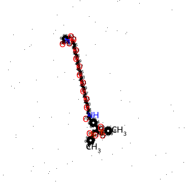 Cc1ccc(S(=O)(=O)CC(CS(=O)(=O)c2ccc(C)cc2)C(=O)c2ccc(C(=O)NCCOCCOCCOCCOCCOCCOCCOCCOCCC(=O)ON3C(=O)CCC3=O)cc2)cc1